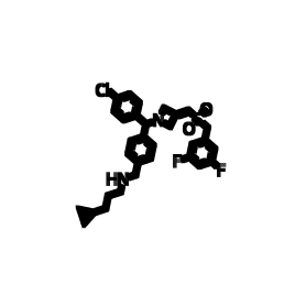 O=S(=O)(C=C1CN(C(c2ccc(Cl)cc2)c2ccc(CNCCCC3CC3)cc2)C1)Cc1cc(F)cc(F)c1